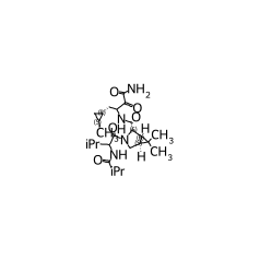 CC(C)C(=O)NC(C(=O)N1C[C@H]2[C@@H]([C@H]1C(=O)NC(C[C@H]1C[C@@H]1C)C(=O)C(N)=O)C2(C)C)C(C)C